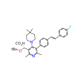 Cc1nc(C)c([C@H](OC(C)(C)C)C(=O)O)c(N2CCC(C)(C)CC2)c1-c1ccc(C=Cc2ccc(F)cc2)cc1